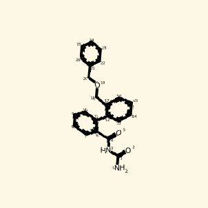 NC(=O)NC(=O)c1ccccc1-c1ccccc1COCc1ccccc1